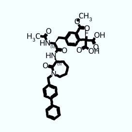 COC(=O)c1cc(C[C@H](NC(C)=O)C(=O)N[C@H]2CCCCN(Cc3ccc(-c4ccccc4)cc3)C2=O)ccc1C(F)(C(=O)O)C(=O)O